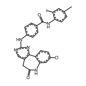 Cc1ccc(NC(=O)c2ccc(Nc3ncc4c(n3)-c3ccc(Cl)cc3NC(=O)C4)cc2)c(I)c1